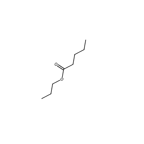 CCCCC(=O)OCCC